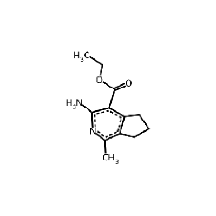 CCOC(=O)c1c(N)nc(C)c2c1CCC2